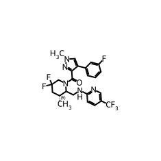 C[C@@H]1CC(F)(F)CN(C(=O)c2nn(C)cc2-c2cccc(F)c2)C1CNc1ccc(C(F)(F)F)cn1